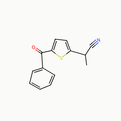 CC(C#N)c1ccc(C(=O)c2ccccc2)s1